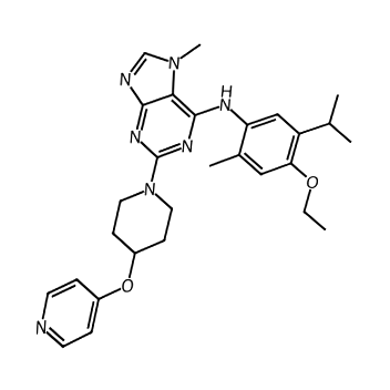 CCOc1cc(C)c(Nc2nc(N3CCC(Oc4ccncc4)CC3)nc3ncn(C)c23)cc1C(C)C